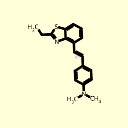 [CH2]Cc1nc2c(/C=C/c3ccc(N(C)C)cc3)cccc2s1